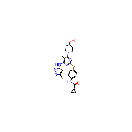 Cc1cc(Nc2nc(Sc3ccc(NC(=O)C4CC4)cc3)nc(N3CCC(O)CC3)c2C)n[nH]1